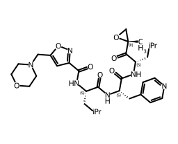 CC(C)C[C@H](NC(=O)c1cc(CN2CCOCC2)on1)C(=O)N[C@@H](Cc1ccncc1)C(=O)N[C@@H](CC(C)C)C(=O)[C@@]1(C)CO1